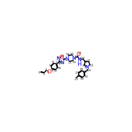 C=CCOc1ccc(-c2noc(N3CCN(C(=O)NCC4CCN(Cc5ccc(C)cc5)C4)CC3)n2)cc1